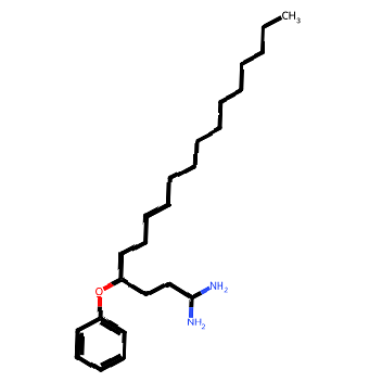 CCCCCCCCCCCCCCC(CCC(N)N)Oc1ccccc1